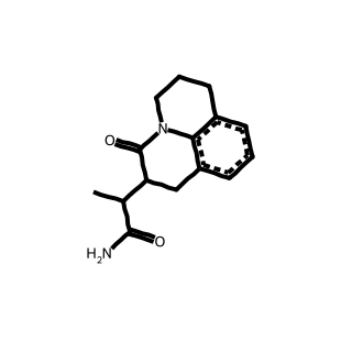 CC(C(N)=O)C1Cc2cccc3c2N(CCC3)C1=O